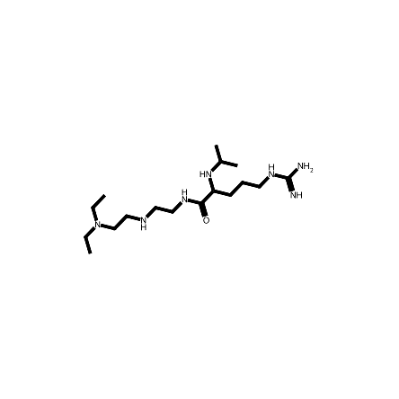 CCN(CC)CCNCCNC(=O)C(CCCNC(=N)N)NC(C)C